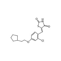 O=C1NC(=O)/C(=C/c2ccc(OCCC3CCCC3)cc2Cl)S1